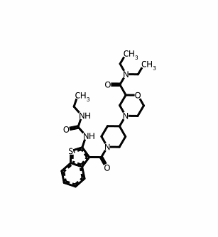 CCNC(=O)Nc1sc2ccccc2c1C(=O)N1CCC(N2CCOC(C(=O)N(CC)CC)C2)CC1